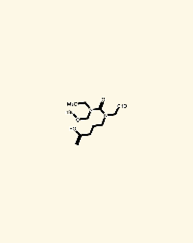 C=C(O)CCCN(CC=O)C(=O)N(COC)COCCCC